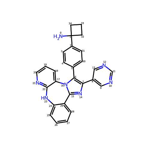 NC1(c2ccc(-c3c(-c4cncnc4)nc4n3-c3cccnc3Nc3ccccc3-4)cc2)CCC1